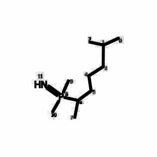 CC(C)CCCC(C)P(C)(C)=N